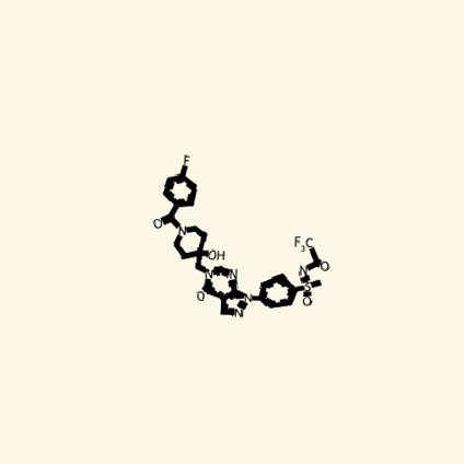 CS(=O)(=NC(=O)C(F)(F)F)c1ccc(-n2ncc3c(=O)n(CC4(O)CCN(C(=O)c5ccc(F)cc5)CC4)cnc32)cc1